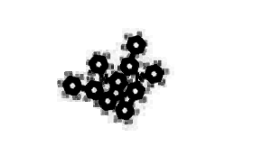 c1ccc(-c2cccc(N(c3ccccc3)c3ccc4c(c3)C3(c5ccccc5-4)c4ccccc4-c4c(N(c5ccccc5)c5cccc(-c6ccccc6)c5)cccc43)c2)cc1